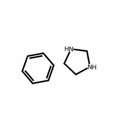 C1CNCN1.c1ccccc1